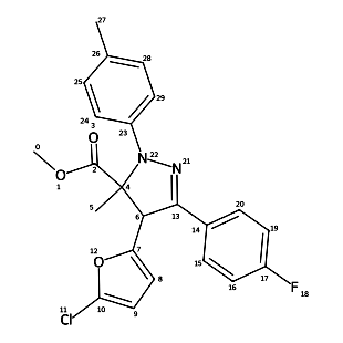 COC(=O)C1(C)C(c2ccc(Cl)o2)C(c2ccc(F)cc2)=NN1c1ccc(C)cc1